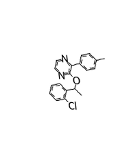 Cc1ccc(-c2nccnc2OC(C)c2ccccc2Cl)cc1